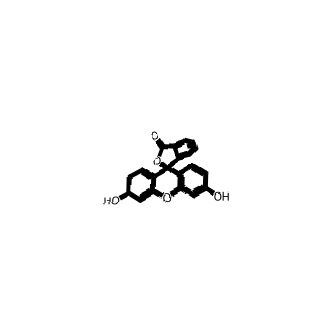 O=C1OC2(C3=CCC(O)C=C3Oc3cc(O)ccc32)c2ccccc21